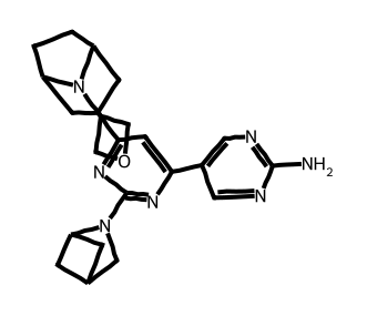 Nc1ncc(-c2cc(C3CC4CCC(C3)N4C3COC3)nc(N3CC4CC3C4)n2)cn1